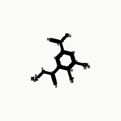 COC(=O)c1cc([N+](=O)[O-])cc(C)c1Br